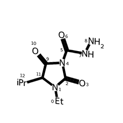 CCN1C(=O)N(C(=O)NN)C(=O)C1C(C)C